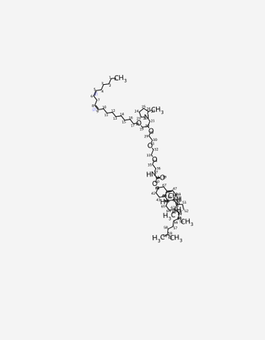 CCCCC/C=C\C/C=C\CCCCCCCCOCC(CN1CCCC1C)OCCOCCOCCNC(=O)O[C@H]1CC[C@@]2(C)C(=CC[C@H]3[C@@H]4CC[C@H]([C@H](C)CCCC(C)C)[C@@]4(C)CC[C@@H]32)C1